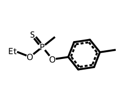 CCOP(C)(=S)Oc1ccc(C)cc1